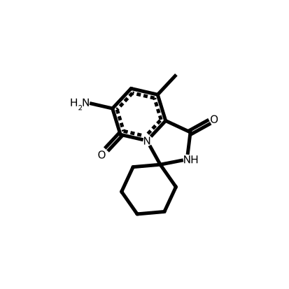 Cc1cc(N)c(=O)n2c1C(=O)NC21CCCCC1